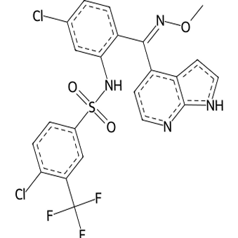 CO/N=C(/c1ccc(Cl)cc1NS(=O)(=O)c1ccc(Cl)c(C(F)(F)F)c1)c1ccnc2[nH]ccc12